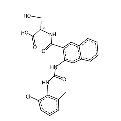 Cc1cccc(Cl)c1NC(=O)Nc1cc2ccccc2cc1C(=O)N[C@@H](CO)C(=O)O